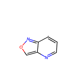 [c]1ccnc2conc12